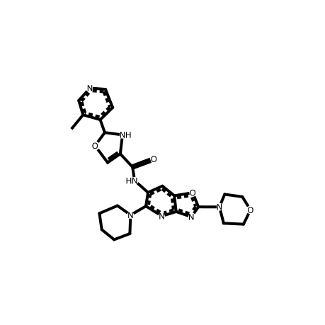 Cc1cnccc1C1NC(C(=O)Nc2cc3oc(N4CCOCC4)nc3nc2N2CCCCC2)=CO1